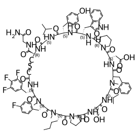 CCCC[C@H]1C(=O)N2CCC[C@@H]2C(=O)N[C@@H](CO)C(=O)N[C@@H](C(C)C)C(=O)N(C)C(Cc2ccccc2)C(=O)N[C@@H](CC(=O)O)C(=O)N2CCCC[C@@H]2C(=O)N[C@@H](Cc2c[nH]c3ccccc23)C(=O)N[C@@H](Cc2ccc(O)cc2)C(=O)N[C@@H](CC(C)C)C(=O)N[C@H](C(=O)NCC(N)=O)CSCC(=O)N[C@@H](Cc2cc(F)c(F)c(F)c2)C(=O)N(C)[C@@H](Cc2ccc(F)cc2)C(=O)N1C